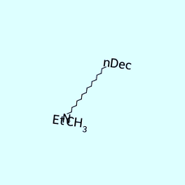 CCCCCCCCCCCCCCCCCCCCCCCCCCN(C)CC